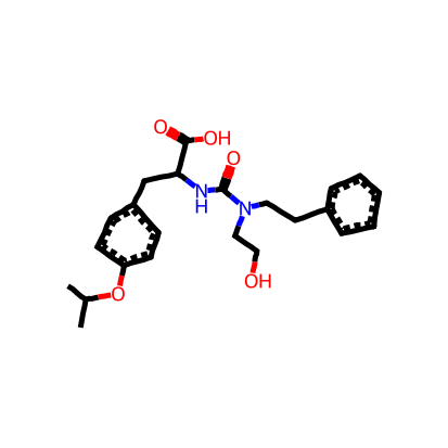 CC(C)Oc1ccc(CC(NC(=O)N(CCO)CCc2ccccc2)C(=O)O)cc1